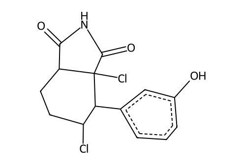 O=C1NC(=O)C2(Cl)C1CCC(Cl)C2c1cccc(O)c1